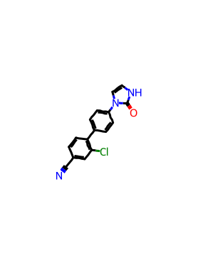 N#Cc1ccc(-c2ccc(-n3cc[nH]c3=O)cc2)c(Cl)c1